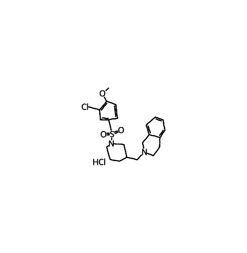 COc1ccc(S(=O)(=O)N2CCCC(CN3CCc4ccccc4C3)C2)cc1Cl.Cl